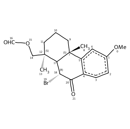 COc1ccc2c(c1)[C@@]1(C)CCC[C@](C)(COC=O)C1[C@@H](Br)C2=O